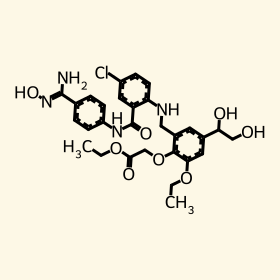 CCOC(=O)COc1c(CNc2ccc(Cl)cc2C(=O)Nc2ccc(/C(N)=N/O)cc2)cc(C(O)CO)cc1OCC